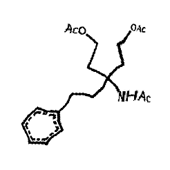 CC(=O)NC(CCOC(C)=O)(CCOC(C)=O)CCc1ccccc1